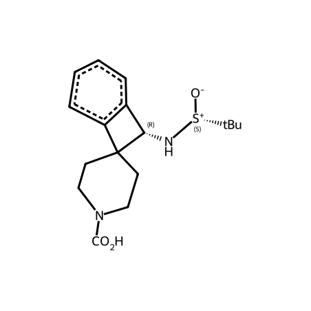 CC(C)(C)[S@@+]([O-])N[C@H]1c2ccccc2C12CCN(C(=O)O)CC2